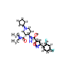 CN(C)C(=O)[C@@H]1CN(C2CCCC2)CC[C@H]1NC(=O)c1cc(-c2ccc(F)cc2F)no1